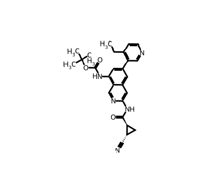 CCc1ccncc1-c1cc(NC(=O)OC(C)(C)C)c2cnc(NC(=O)[C@H]3C[C@@H]3C#N)cc2c1